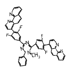 C=N/C(=N\C(=N/Cc1ccccc1)c1cc(F)c(-c2ccnc3c2ccc2cccnc23)c(F)c1)c1cc(F)c(-c2ccnc3c2ccc2cccnc23)c(F)c1